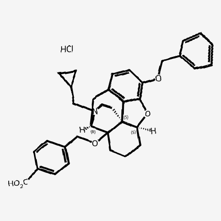 Cl.O=C(O)c1ccc(COC23CCC[C@@H]4Oc5c(OCc6ccccc6)ccc6c5[C@@]42CCN(CC2CC2)[C@@H]3C6)cc1